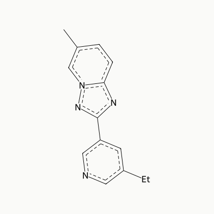 CCc1cncc(-c2nc3ccc(C)cn3n2)c1